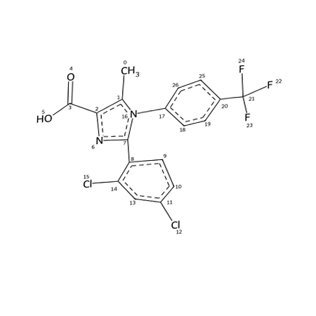 Cc1c(C(=O)O)nc(-c2ccc(Cl)cc2Cl)n1-c1ccc(C(F)(F)F)cc1